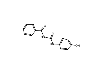 O=C(NC(=S)Nc1ccc(O)cc1)c1ccccc1